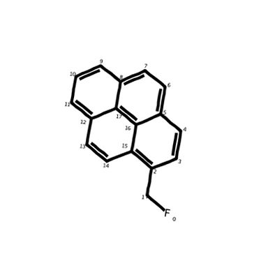 F[CH]c1ccc2ccc3cccc4ccc1c2c34